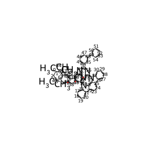 CC1CC(C)(C)c2ccc(-c3cccc(-n4c5ccccc5c5ccc6c7ccccc7n(-c7nc(-c8ccccc8)nc(-c8cccc(-c9ccccc9)c8)n7)c6c54)c3)cc2C1(C)C